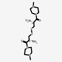 CN1CCN(C(=O)[C@@H](N)CSSC[C@H](N)C(=O)N2CCN(C)CC2)CC1